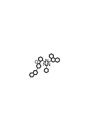 c1ccc(-c2nc(-c3cc4ccccc4c4ccccc34)nc(-c3cccc4oc5cc(-c6ccc7ccccc7c6)ccc5c34)n2)cc1